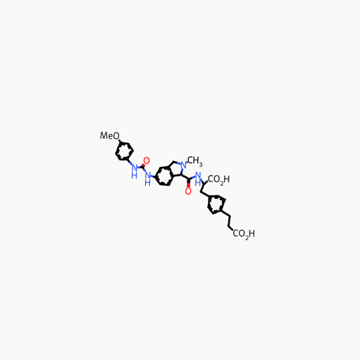 COc1ccc(NC(=O)Nc2ccc3c(c2)CN(C)C3C(=O)NC(Cc2ccc(CCC(=O)O)cc2)C(=O)O)cc1